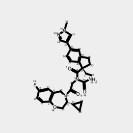 CC[C@]1(C(=O)N(CC(=O)N2Cc3cc(F)ccc3OC[C@H]2C2CC2)C(N)=O)CCc2cc(-c3cnn(C)c3)ccc21